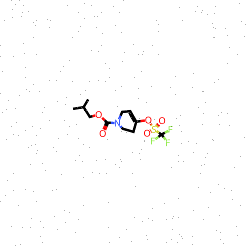 CC(C)COC(=O)N1CC=C(OS(=O)(=O)C(F)(F)F)CC1